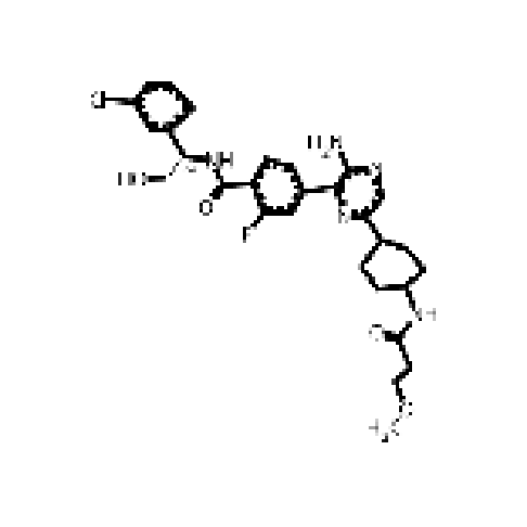 COCCC(=O)NC1CCC(c2cnc(N)c(-c3ccc(C(=O)N[C@H](CO)c4cccc(Cl)c4)c(F)c3)n2)CC1